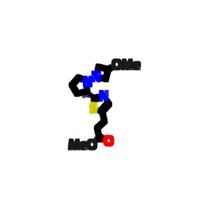 COC(=O)CCc1cnc([C@@H]2CCCN2N2CC(OC)C2)s1